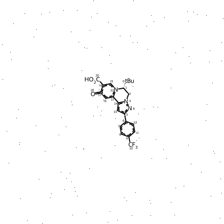 CC(C)(C)[C@@H]1Cn2nc(-c3ccc(C(F)(F)F)cc3)cc2-c2cc(=O)c(C(=O)O)cn21